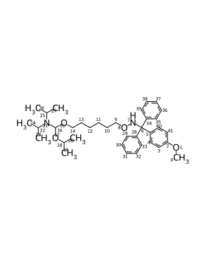 COc1ccc(C(NOCCCCCCOC(OC(C)C)N(C(C)C)C(C)C)(c2ccccc2)c2ccccc2)cc1